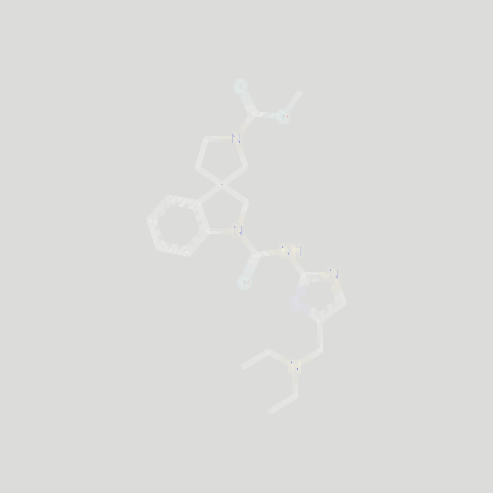 CCN(CC)Cc1cnc(NC(=O)N2CC3(CCN(C(=O)OC)C3)c3ccccc32)s1